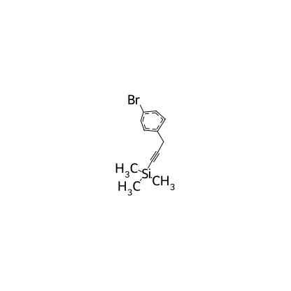 C[Si](C)(C)C#CCc1ccc(Br)cc1